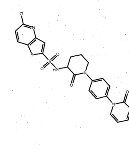 O=C1C(NS(=O)(=O)c2cc3nc(Cl)ccc3s2)CCCN1c1ccc(-n2ccccc2=O)cc1